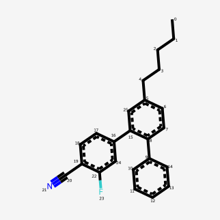 CCCCCc1ccc(-c2ccccc2)c(-c2ccc(C#N)c(F)c2)c1